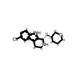 Clc1ccc2[nH]c3c(c2c1)CCN[C@H]3C[C@@H]1CCCOC1